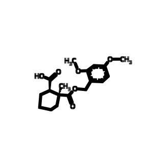 COc1ccc(COC(=O)[C@@]2(C)CCCC[C@H]2C(=O)O)c(OC)c1